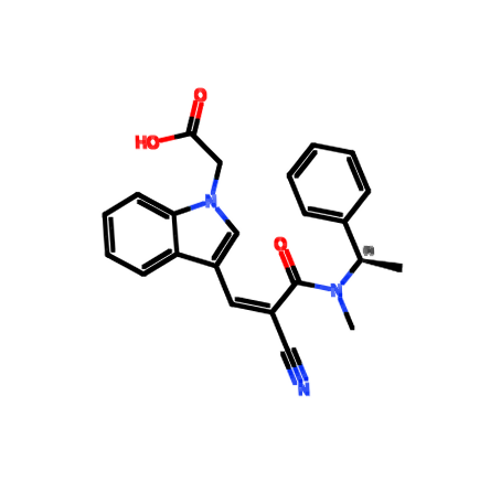 C[C@H](c1ccccc1)N(C)C(=O)C(C#N)=Cc1cn(CC(=O)O)c2ccccc12